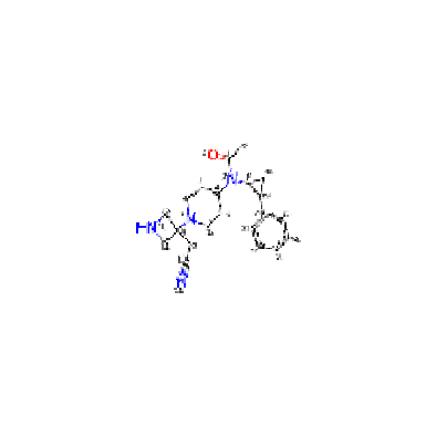 CC(=O)N(C1CCN(C2(CC#N)CNC2)CC1)C1CC1c1ccccc1